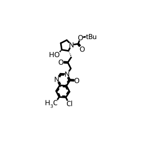 Cc1cc2ncn(CC(=O)C[C@@H]3[C@@H](O)CCN3C(=O)OC(C)(C)C)c(=O)c2cc1Cl